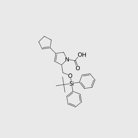 CC(C)(C)[Si](OCC1C=C(C2=CCCC2)CN1C(=O)O)(c1ccccc1)c1ccccc1